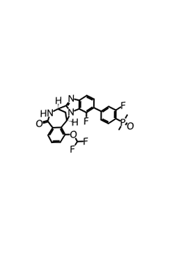 CP(C)(=O)c1ccc(-c2ccc3nc4n(c3c2F)[C@@H]2C[C@H]4NC(=O)c3cccc(OC(F)F)c32)cc1F